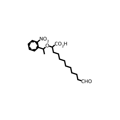 CC(OC(CCCCCCCCCC=O)C(=O)O)c1ccccc1[N+](=O)[O-]